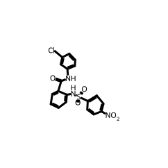 O=C(Nc1cccc(Cl)c1)c1ccccc1NS(=O)(=O)c1ccc([N+](=O)[O-])cc1